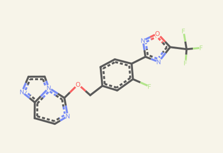 Fc1cc(COc2nccc3nccn23)ccc1-c1noc(C(F)(F)F)n1